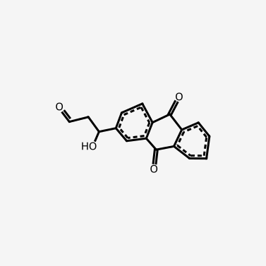 O=CCC(O)c1ccc2c(c1)C(=O)c1ccccc1C2=O